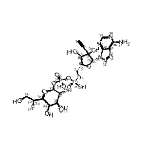 C#C[C@@]1(O)[C@H](O)[C@@H](COP(=O)(S)OP(=O)(O)OC2OC([C@@H](F)CO)C(O)C(O)C2O)O[C@H]1n1nnc2c(N)ncnc21